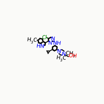 Cc1ccc2c(-c3nc(Nc4cc(C5CC5)cc(N5CCN(C(C)(C)CO)CC5)c4)ncc3Cl)c[nH]c2c1